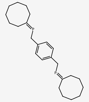 c1cc(CP=C2CCCCCCC2)ccc1CP=C1CCCCCCC1